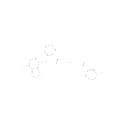 Bc1cccc(C(=O)NCCNC(=O)c2ccccc2Nc2ccc([N+](=O)[O-])c3nonc23)c1